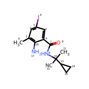 Cc1cc(I)cc(C(=O)NC(C)(C#N)C2CC2)c1N